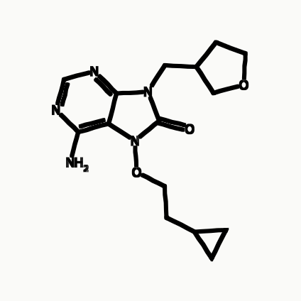 Nc1ncnc2c1n(OCCC1CC1)c(=O)n2CC1CCOC1